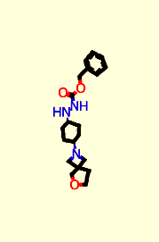 O=C(NN[C@H]1CC[C@H](N2CC3(CCOC3)C2)CC1)OCc1ccccc1